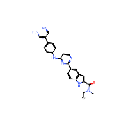 CN(CC(F)(F)F)C(=O)c1cc2cc(-c3nccc(Nc4ccc(/C(C=N)=C/N)cc4)n3)ccc2[nH]1